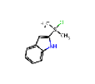 C[Si](C)(Cl)c1cc2ccccc2[nH]1